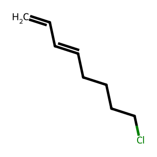 C=CC=CCCCCCl